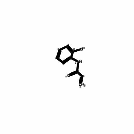 C=CC(=O)Nc1ccccc1Cl